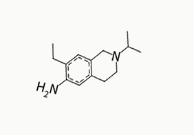 CCc1cc2c(cc1N)CCN(C(C)C)C2